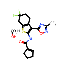 O=C(Nc1sc2c(c1-c1nc(C(F)(F)F)no1)CCC(F)(F)C2)C1=CCCC1.O=C(O)O